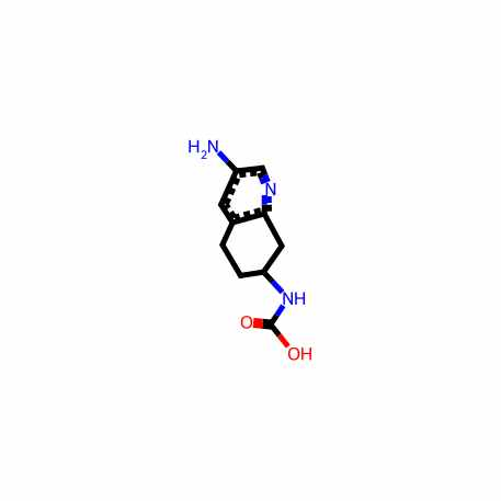 Nc1cnc2c(c1)CCC(NC(=O)O)C2